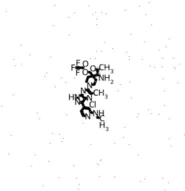 CCNc1nccc(-c2n[nH]c3nc(N4CCC5(CC4)C(OC(=O)C(F)(F)F)O[C@@H](C)[C@H]5N)c(C)nc23)c1Cl